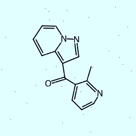 Cc1ncccc1C(=O)c1cnn2ccccc12